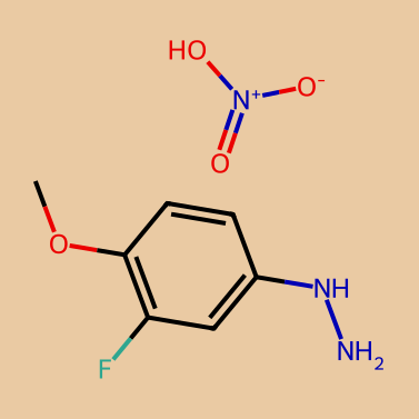 COc1ccc(NN)cc1F.O=[N+]([O-])O